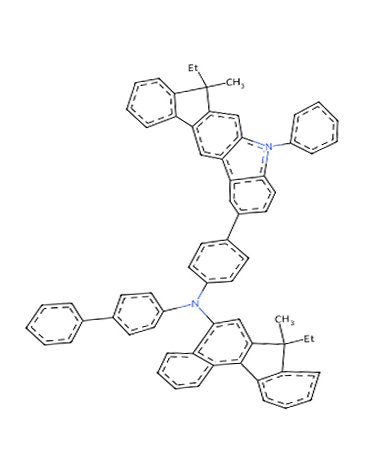 CCC1(C)c2ccccc2-c2cc3c4cc(-c5ccc(N(c6ccc(-c7ccccc7)cc6)c6cc7c(c8ccccc68)-c6ccccc6C7(C)CC)cc5)ccc4n(-c4ccccc4)c3cc21